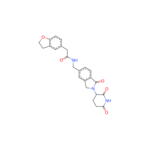 O=C(Cc1ccc2c(c1)CCO2)NCc1ccc2c(c1)CN(C1CCC(=O)NC1=O)C2=O